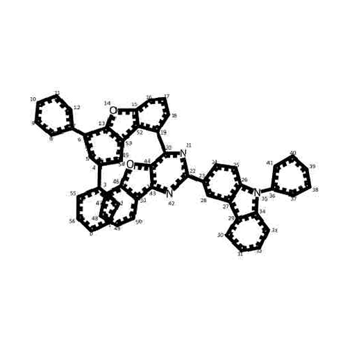 c1ccc(-c2cc(-c3ccccc3)c3oc4cccc(-c5nc(-c6ccc7c(c6)c6ccccc6n7-c6ccccc6)nc6c5oc5ccccc56)c4c3c2)cc1